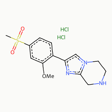 COc1cc(S(C)(=O)=O)ccc1-c1cn2c(n1)CNCC2.Cl.Cl